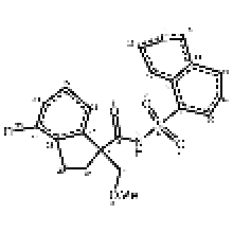 COCC1(C(=O)NS(=O)(=O)c2cccc3ccccc23)CCc2c(Cl)cccc21